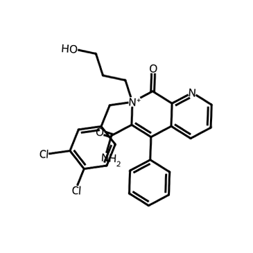 NC(=O)C1=C(c2ccccc2)c2cccnc2C(=O)[N+]1(CCCO)Cc1ccc(Cl)c(Cl)c1